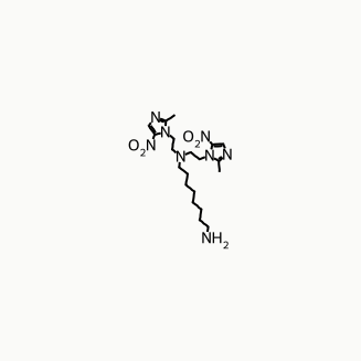 Cc1ncc([N+](=O)[O-])n1CCN(CCCCCCCCN)CCn1c([N+](=O)[O-])cnc1C